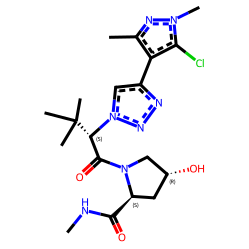 CNC(=O)[C@@H]1C[C@@H](O)CN1C(=O)[C@@H](n1cc(-c2c(C)nn(C)c2Cl)nn1)C(C)(C)C